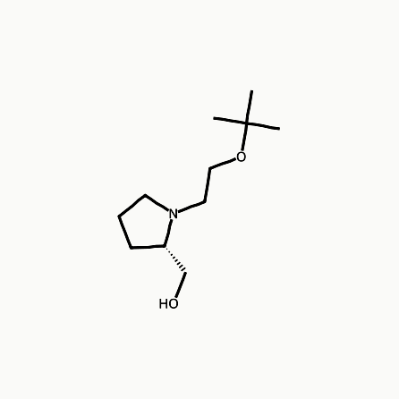 CC(C)(C)OCCN1CCC[C@H]1CO